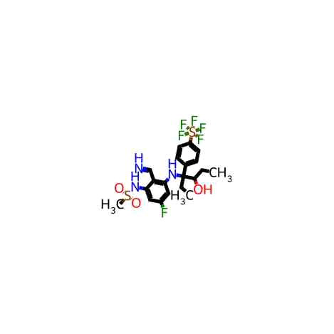 CCC(O)C(CC)(Nc1cc(F)cc(NS(C)(=O)=O)c1C=N)c1ccc(S(F)(F)(F)(F)F)cc1